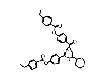 CCc1ccc(C(=O)Oc2ccc(C(=O)OCC(OC(=O)c3ccc(OC(=O)c4ccc(CC)cc4)cc3)C3CCCCC3)cc2)cc1